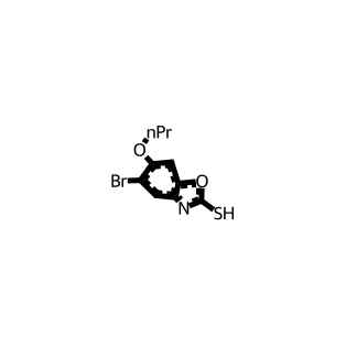 CCCOc1cc2oc(S)nc2cc1Br